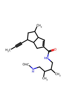 CC#CC1CC(C)C2C=C(C(=O)NCC(C)C(C)CNC=O)CC12